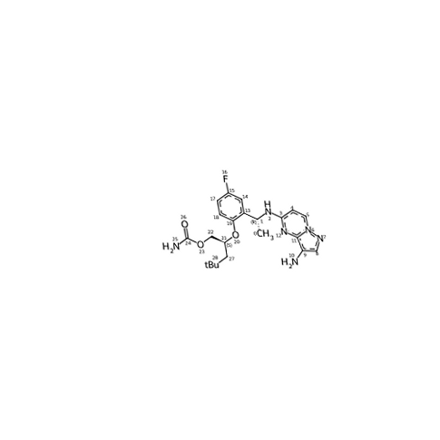 C[C@@H](Nc1ccn2ncc(N)c2n1)c1cc(F)ccc1O[C@H](COC(N)=O)CC(C)(C)C